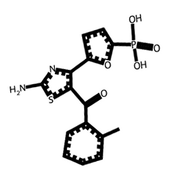 Cc1ccccc1C(=O)c1sc(N)nc1-c1ccc(P(=O)(O)O)o1